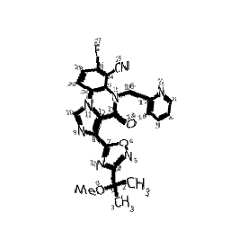 COC(C)(C)c1noc(-c2ncn3c2c(=O)n(Cc2ccccn2)c2c(C#N)c(F)ccc23)n1